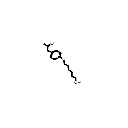 CC(=O)Cc1ccc(OCCCCCCO)cc1